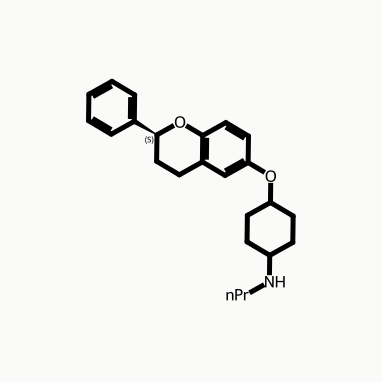 CCCNC1CCC(Oc2ccc3c(c2)CC[C@@H](c2ccccc2)O3)CC1